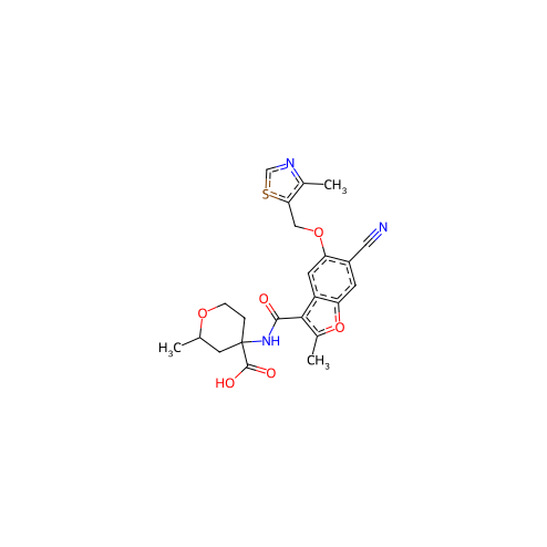 Cc1ncsc1COc1cc2c(C(=O)NC3(C(=O)O)CCOC(C)C3)c(C)oc2cc1C#N